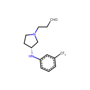 O=CCCN1CC[C@@H](Nc2cccc(C(F)(F)F)c2)C1